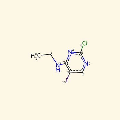 CCNc1nc(Cl)ncc1I